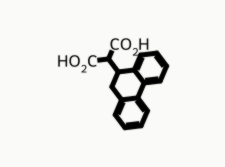 O=C(O)C(C(=O)O)C1Cc2ccccc2-c2ccccc21